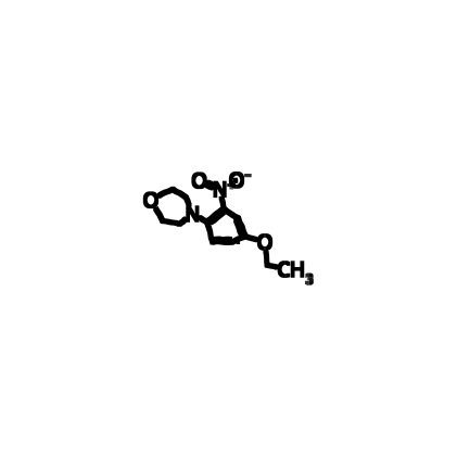 CCOc1[c]cc(N2CCOCC2)c([N+](=O)[O-])c1